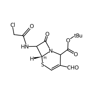 CC(C)(C)OC(=O)C1C(C=O)=CS[C@@H]2C(NC(=O)CCl)C(=O)N12